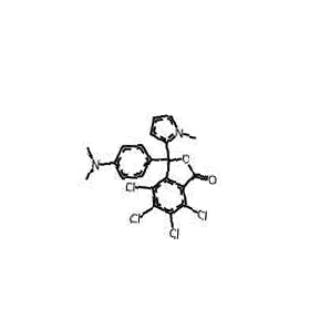 CN(C)c1ccc(C2(c3cccn3C)OC(=O)c3c(Cl)c(Cl)c(Cl)c(Cl)c32)cc1